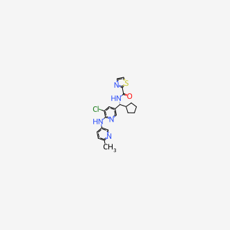 Cc1ccc(Nc2ncc([C@H](NC(=O)c3nccs3)C3CCCC3)cc2Cl)cn1